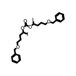 O=C(OC(I)CCCOCc1ccccc1)OC(I)CCCOCc1ccccc1